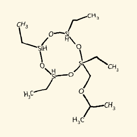 CC[SiH]1O[SiH](CC)O[Si](CC)(COC(C)C)O[SiH](CC)O1